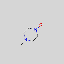 CN1CC[N+](=O)CC1